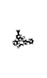 N#CCCn1nc(-c2ccccn2)cc1NC(=O)c1nc(C2CC2)ccc1Nc1cncnc1